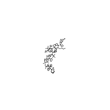 C=CCNC(=O)C(=O)C(CCCC)NC(=O)[C@@H]1[C@@H]2[C@H](CN1C(=O)[C@@H](NC(=O)N[C@H](CN(C(C)C)S(=O)(=O)c1cccs1)C(C)(C)C)C(C)(C)C)C2(C)C